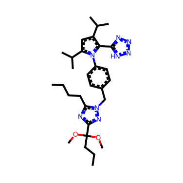 CCCCc1nc(C(CCC)(OC)OC)nn1Cc1ccc(-n2c(C(C)C)cc(C(C)C)c2-c2nnn[nH]2)cc1